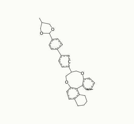 CC1COC(c2ccc(-c3ccc(C4COc5ccc6c(c5-c5c(ccc7c5CCCC7)OC4)CCCC6)cc3)cc2)OC1